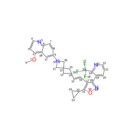 COc1ccnc2ccc(N3CC4(CC(/C=C/c5c(-c6cccnc6C(F)(F)F)noc5C5CC5)C4)C3)cc12